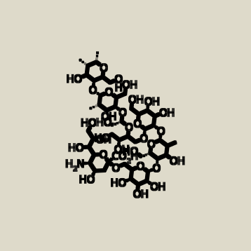 CC1C(O)[C@H](O[C@@H]2OC(CO[C@]3(C(=O)O)C[C@@H](O)[C@@H](N)C(C(O)C(O)CO)O3)[C@H](O)C(O)[C@@H]2O)[C@H](CO)O[C@H]1O[C@@H]1C(O)[C@H](O)C(CO)O[C@@H]1OCC(O[C@H](CO)O[C@@H]1C(CO)O[C@@H](O[C@@H]2C(CO)O[C@@H](C)[C@@H](C)C2O)[C@@H](C)C1O)[C@@H](O)CO